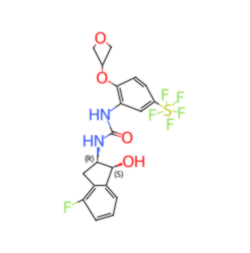 O=C(Nc1cc(S(F)(F)(F)(F)F)ccc1OC1COC1)N[C@@H]1Cc2c(F)cccc2[C@@H]1O